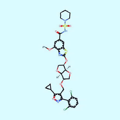 CC(C)Oc1cc(C(=O)NS(=O)(=O)N2CCCCC2)cc2sc(O[C@@H]3CO[C@H]4[C@@H]3OC[C@H]4OCc3c(-c4c(Cl)cccc4Cl)noc3C3CC3)nc12